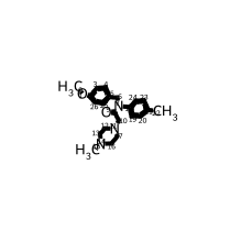 COc1ccc(CN(C(=O)CN2CCN(C)CC2)c2ccc(C)cc2)cc1